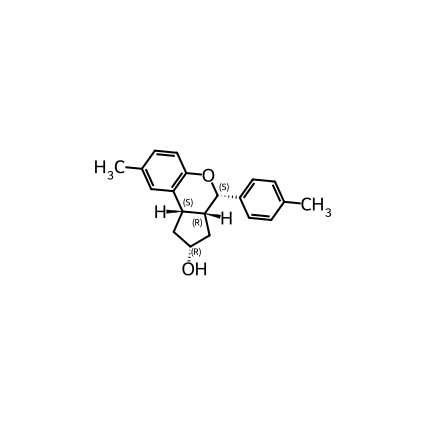 Cc1ccc([C@H]2Oc3ccc(C)cc3[C@H]3C[C@@H](O)C[C@H]32)cc1